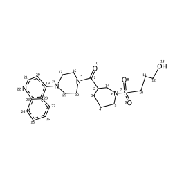 O=C(C1CCCN(S(=O)(=O)CCCO)C1)N1CCN(c2ccnc3ccccc23)CC1